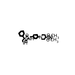 CC(C)CC(c1ccccc1)S(=O)(=O)NCc1ccc(N2CCC(S(=O)(=O)N(C)C)CC2)cc1